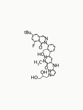 Cn1nc(-c2cccc(-n3ncc4cc(C(C)(C)C)cc(F)c4c3=O)c2CO)cc(Nc2ccn(CC(O)CO)n2)c1=O